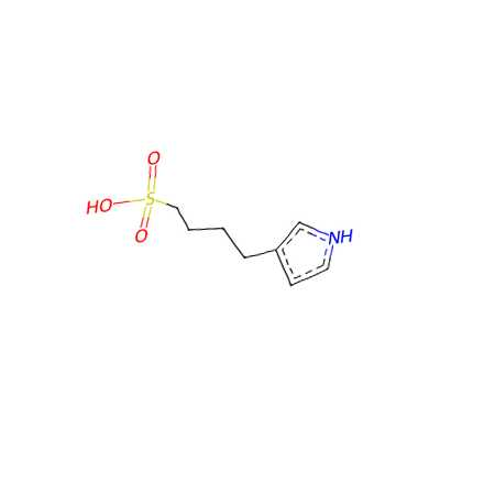 O=S(=O)(O)CCCCc1cc[nH]c1